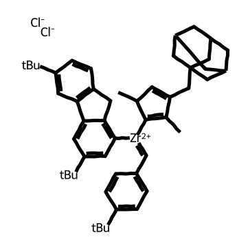 CC1=[C](/[Zr+2](=[CH]/c2ccc(C(C)(C)C)cc2)[c]2cc(C(C)(C)C)cc3c2Cc2ccc(C(C)(C)C)cc2-3)C(C)C=C1CC12CC3CC(CC(C3)C1)C2.[Cl-].[Cl-]